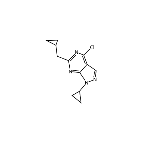 Clc1nc(CC2CC2)nc2c1cnn2C1CC1